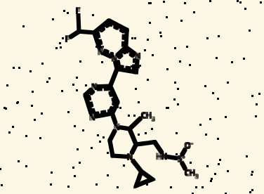 CC1C(CN[S+](C)[O-])N(C2CC2)CCN1c1cc(-c2cnc3ccc(C(F)F)nn23)ncn1